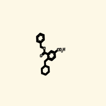 O=C(O)c1ccc(CC2CCCCC2)c(C(=O)OCc2ccccc2)c1